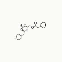 CC(COC(=O)Cc1ccccc1)OC(=O)Cc1ccccc1